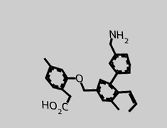 C/C=C\c1c(C)cc(COc2cc(C)ccc2CC(=O)O)cc1-c1cccc(CN)c1